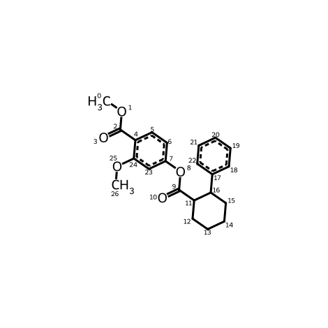 COC(=O)c1ccc(OC(=O)C2CCCCC2c2ccccc2)cc1OC